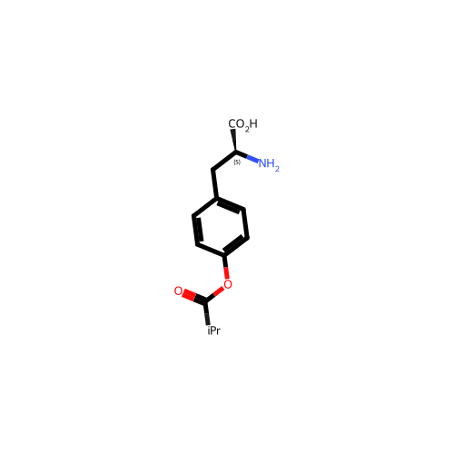 CC(C)C(=O)Oc1ccc(C[C@H](N)C(=O)O)cc1